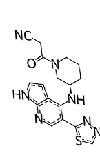 N#CCC(=O)N1CCC[C@@H](Nc2c(-c3nncs3)cnc3[nH]ccc23)C1